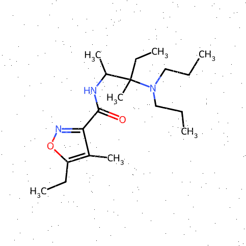 CCCN(CCC)C(C)(CC)C(C)NC(=O)c1noc(CC)c1C